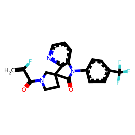 C=C(F)C(=O)N1CCC2(C1)C(=O)N(c1ccc(C(F)(F)F)cc1)c1cccnc12